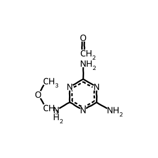 C=O.COC.Nc1nc(N)nc(N)n1